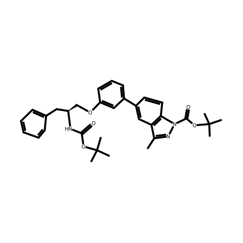 Cc1nn(C(=O)OC(C)(C)C)c2ccc(-c3cccc(OC[C@H](Cc4ccccc4)NC(=O)OC(C)(C)C)c3)cc12